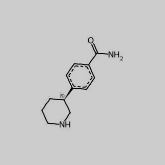 NC(=O)c1ccc([C@@H]2CCCNC2)cc1